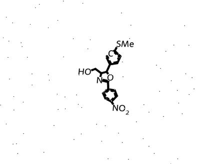 CSc1ccc(C2OC(c3ccc([N+](=O)[O-])cc3)=NC2CO)cc1